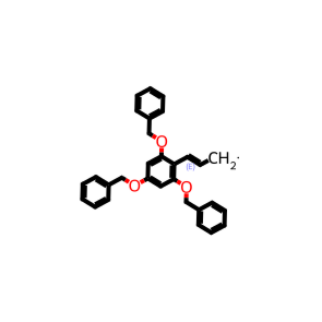 [CH2]/C=C/c1c(OCc2ccccc2)cc(OCc2ccccc2)cc1OCc1ccccc1